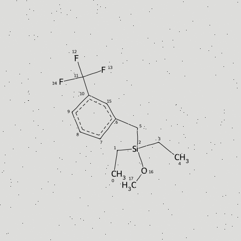 CC[Si](CC)(Cc1cccc(C(F)(F)F)c1)OC